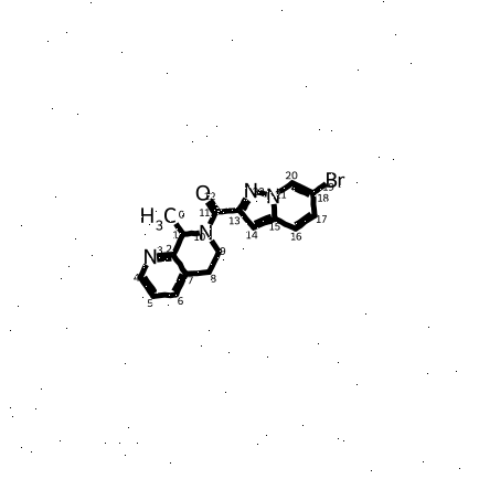 CC1c2ncccc2CCN1C(=O)c1cc2ccc(Br)cn2n1